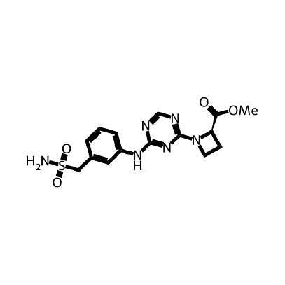 COC(=O)[C@H]1CCN1c1ncnc(Nc2cccc(CS(N)(=O)=O)c2)n1